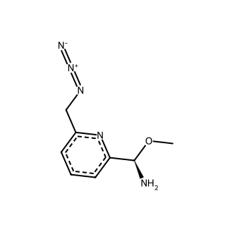 CO[C@@H](N)c1cccc(CN=[N+]=[N-])n1